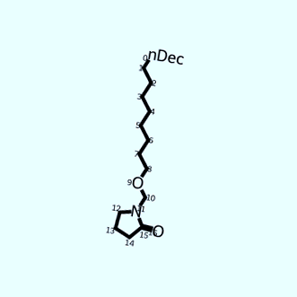 CCCCCCCCCCCCCCCCCCOCN1CCCC1=O